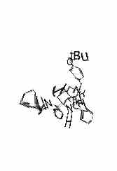 CC(C)(C)Oc1ccc(CN2C[C@H]3C[C@]4(C(=O)NCc5ccccc5)NC[C@H]3[C@H]2[C@H]4Cc2ccccc2)cc1